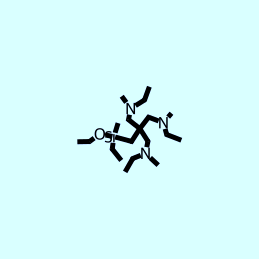 CCO[Si](C)(CC)CC(CN(C)CC)(CN(C)CC)CN(C)CC